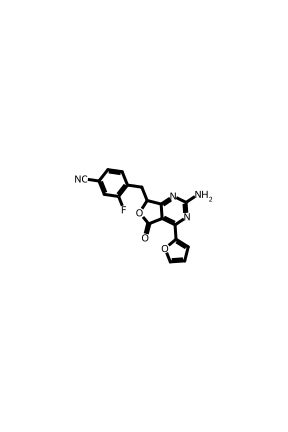 N#Cc1ccc(CC2OC(=O)c3c(-c4ccco4)nc(N)nc32)c(F)c1